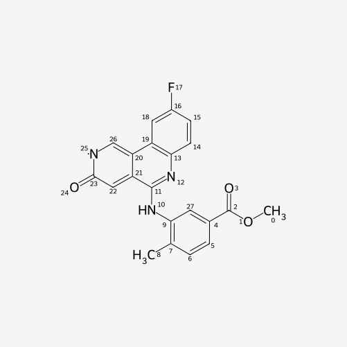 COC(=O)c1ccc(C)c(Nc2nc3ccc(F)cc3c3c2=CC(=O)[N]C=3)c1